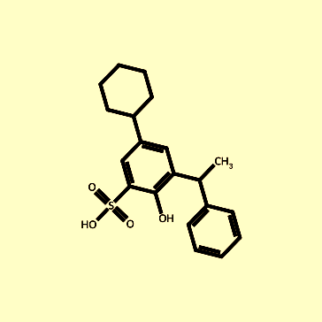 CC(c1ccccc1)c1cc(C2CCCCC2)cc(S(=O)(=O)O)c1O